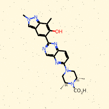 Cc1c(O)c(-c2ncc3nc(N4C[C@@H](C)N(C(=O)O)[C@@H](C)C4)ccc3n2)cc2cn(C)nc12